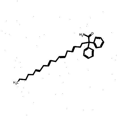 CCCCCC=CCC=CCC=CCC=CCCC(C(N)=O)(c1ccccc1)c1ccccc1